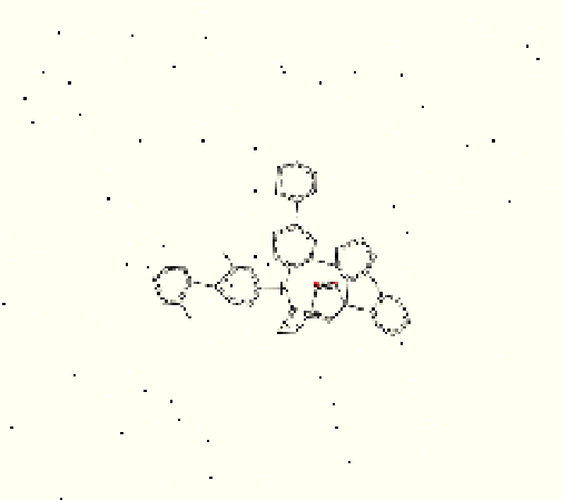 Cc1ccccc1-c1ccc(N2c3ccc4c(c3)C3(c5ccccc5-4)c4ccccc4-c4cccc(c43)-c3cc(-c4ccccc4)ccc32)cc1C